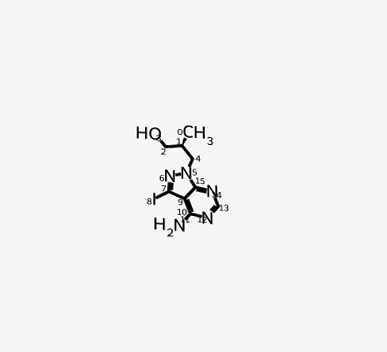 C[C@H](CO)Cn1nc(I)c2c(N)ncnc21